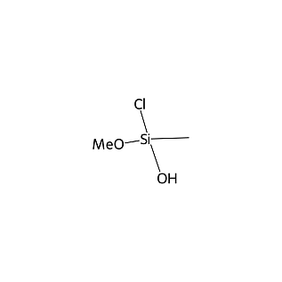 CO[Si](C)(O)Cl